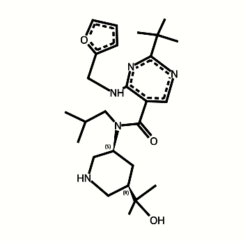 CC(C)CN(C(=O)c1cnc(C(C)(C)C)nc1NCc1ccco1)[C@@H]1CNC[C@H](C(C)(C)O)C1